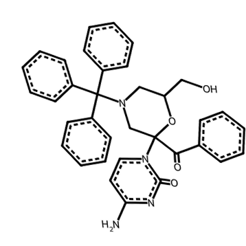 Nc1ccn(C2(C(=O)c3ccccc3)CN(C(c3ccccc3)(c3ccccc3)c3ccccc3)CC(CO)O2)c(=O)n1